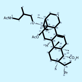 CC(=O)NCC(C)CO[C@H]1[C@H](OC(C)=O)C[C@@]23COC[C@@]1(C)[C@@H]2CC[C@H]1C3=CC[C@@]2(C)[C@H](C(=O)O)[C@@](C)([C@H](C)C(C)C)CC[C@]12C